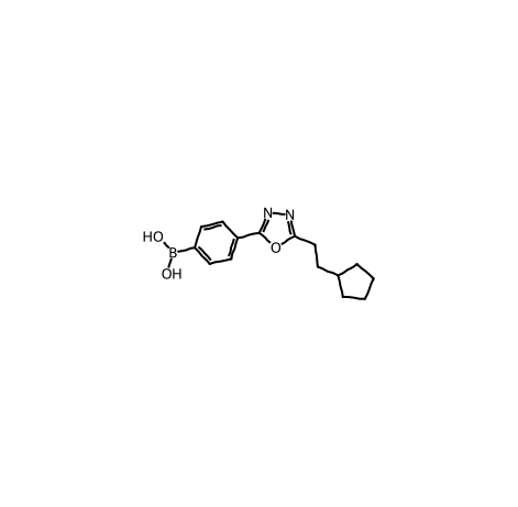 OB(O)c1ccc(-c2nnc(CCC3CCCC3)o2)cc1